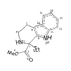 CCC1(C(=O)OC)NCCc2c1[nH]c1ccccc21